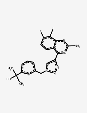 CC(C)(O)c1cccc(Cn2cc(-c3nc(N)nc4c(F)c(F)ccc34)nn2)n1